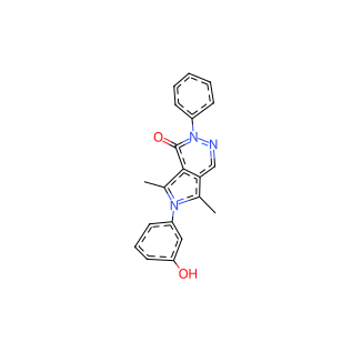 Cc1c2cnn(-c3ccccc3)c(=O)c2c(C)n1-c1cccc(O)c1